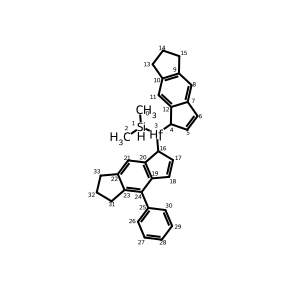 C[SiH](C)[Hf]([CH]1C=Cc2cc3c(cc21)CCC3)[CH]1C=Cc2c1cc1c(c2-c2ccccc2)CCC1